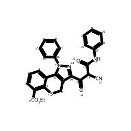 CCOC(=O)c1cccc2c1SCc1c(C(=O)C(C#N)C(=O)Nc3ccccc3)nn(-c3ccccc3)c1-2